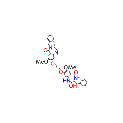 COc1cc2c(cc1OCCCOc1cc3c(cc1OC)C(=O)N1Cc4ccccc4CC1C(O)N3)N=CC1Cc3ccccc3CN1C2=O